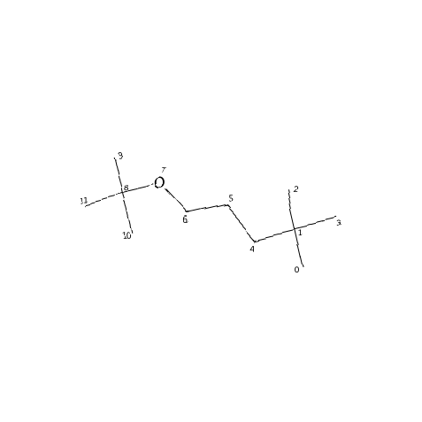 CC(C)(C)CCCOC(C)(C)C